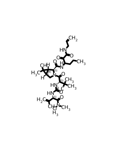 C=CCNC(=O)C(=O)C(CCC)NC(=O)[C@@H]1[C@@H]2[C@H](CN1C(=O)[C@@H](NC(=O)N[C@@H](C(=C)C)C(=O)N(C)C)C(C)(C)C)C2(C)C